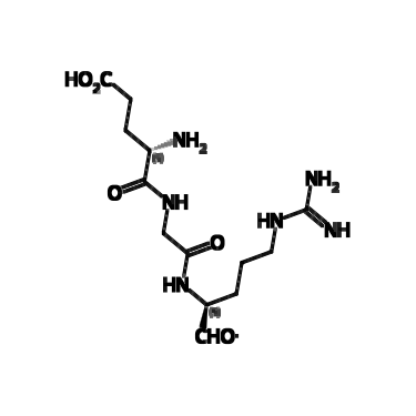 N=C(N)NCCC[C@@H]([C]=O)NC(=O)CNC(=O)[C@@H](N)CCC(=O)O